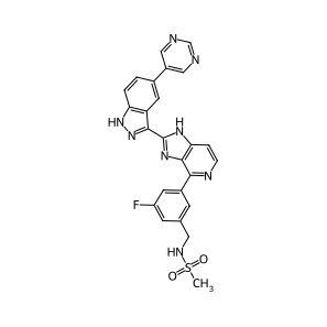 CS(=O)(=O)NCc1cc(F)cc(-c2nccc3[nH]c(-c4n[nH]c5ccc(-c6cncnc6)cc45)nc23)c1